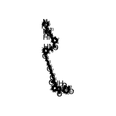 CC(NC(=O)c1cccc(NCc2nnc(-c3ccncn3)n2C)c1)c1cccc(OCCCCCOCCCOCC(=O)Nc2cccc3c2CN(C2CCC(=O)N(C)C2=O)C3=O)c1